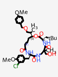 COc1ccc(COCC(C)[C@@H]2C/C=C/C(=O)N[C@H](Cc3ccc(OC)c(Cl)c3)C(=O)NCC(C)(CO)C(=O)N[C@@H](CC(C)(C)C)C(=O)O2)cc1